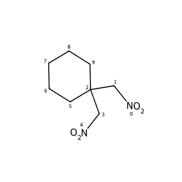 O=[N+]([O-])CC1(C[N+](=O)[O-])CCCCC1